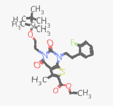 CCOC(=O)c1sc2c(c1C)c(=O)n(CCO[Si](C)(C)C(C)(C)C)c(=O)n2CCc1ccccc1F